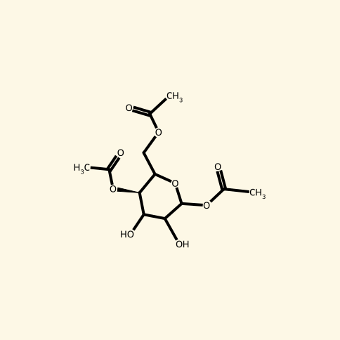 CC(=O)OCC1OC(OC(C)=O)C(O)C(O)[C@H]1OC(C)=O